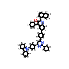 c1ccc(-c2nc(-c3ccc(-c4ccc5nc(-c6cccc7ccccc67)c6oc7ccccc7c6c5c4)cc3)cc(-c3ccc(-n4c5ccccc5c5ccccc54)cc3)n2)cc1